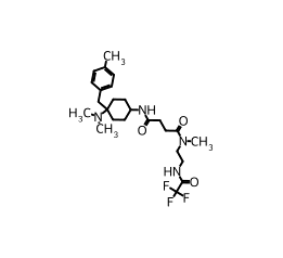 Cc1ccc(CC2(N(C)C)CCC(NC(=O)CCC(=O)N(C)CCNC(=O)C(F)(F)F)CC2)cc1